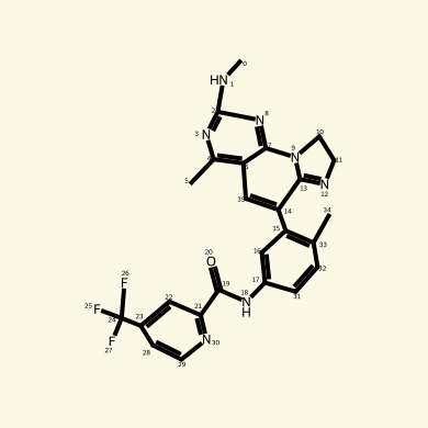 CNc1nc(C)c2c(n1)N1CCN=C1C(c1cc(NC(=O)c3cc(C(F)(F)F)ccn3)ccc1C)=C2